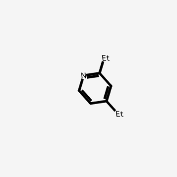 CCc1ccnc(CC)c1